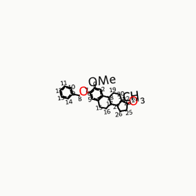 COc1cc2c(cc1OCc1ccccc1)CCC1C2CC[C@]2(C)C(=O)CCC12